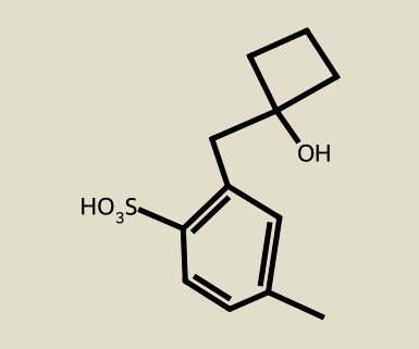 Cc1ccc(S(=O)(=O)O)c(CC2(O)CCC2)c1